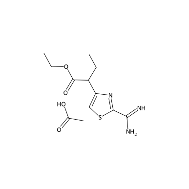 CC(=O)O.CCOC(=O)C(CC)c1csc(C(=N)N)n1